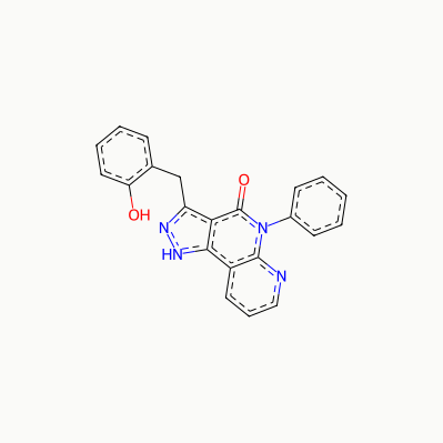 O=c1c2c(Cc3ccccc3O)n[nH]c2c2cccnc2n1-c1ccccc1